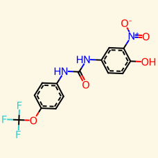 O=C(Nc1ccc(OC(F)(F)F)cc1)Nc1ccc(O)c([N+](=O)[O-])c1